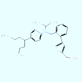 CCCC(CCC)c1ccc(N(Cc2ccccc2-c2csc(CO)c2)C(C)C)cc1